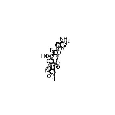 Nc1ncnc2c1ccn2[C@@H]1O[C@H](CCOP(=O)(S)[C@@H]2C[C@@H](CO)O[C@H]2n2cnc3c(=O)[nH]ccc32)[C@@H](O)[C@@H]1F